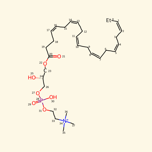 CC/C=C\C/C=C\C/C=C\C/C=C\C/C=C\C/C=C\CCC(=O)OC[C@@H](O)COP(=O)(O)OCC[N+](C)(C)C